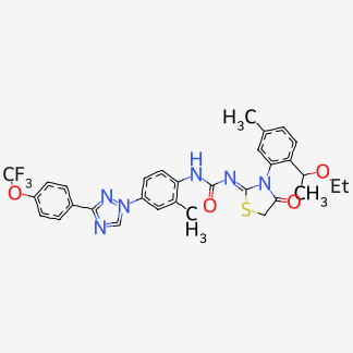 CCOC(C)c1ccc(C)cc1N1C(=O)CS/C1=N\C(=O)Nc1ccc(-n2cnc(-c3ccc(OC(F)(F)F)cc3)n2)cc1C